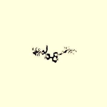 CC1(S(=O)(=O)N2CC(CC#N)(n3cc(-c4ccnc5c4ccn5COCC[Si](C)(C)C)cn3)C2)CC1